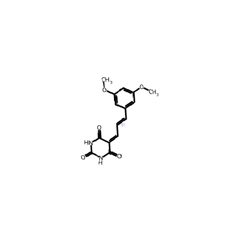 COc1cc(/C=C/C=C2C(=O)NC(=O)NC2=O)cc(OC)c1